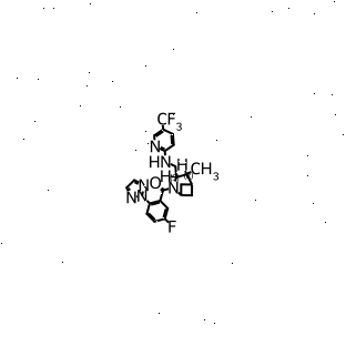 C[C@@H]1C2CC(C2)N(C(=O)c2cc(F)ccc2-n2nccn2)[C@@H]1CNc1ccc(C(F)(F)F)cn1